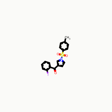 Cc1ccc(S(=O)(=O)n2ccc(C(=O)c3ccccc3I)c2)cc1